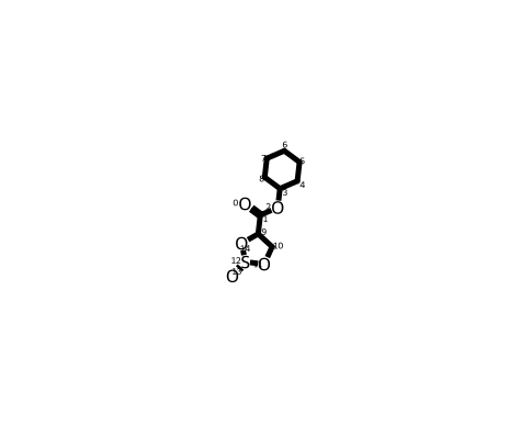 O=C(OC1CCCCC1)C1COS(=O)O1